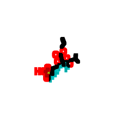 C=CCOC(=O)C(OCCC(F)(F)S(=O)(=O)O)(OC(=O)C(=C)C)C(F)(F)F